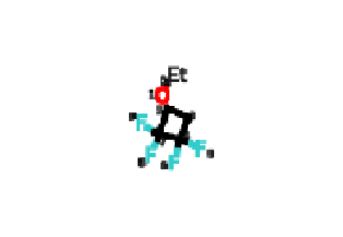 CCO[C@@H]1CC(F)(F)C1(F)F